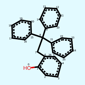 Oc1ccccc1CC(c1ccccc1)(c1ccccc1)c1ccccc1